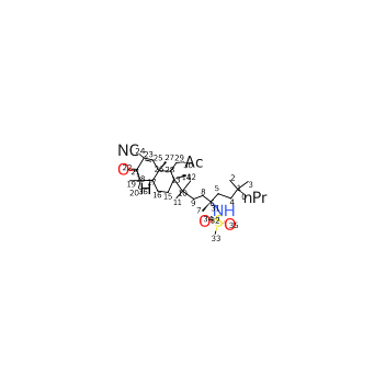 CCCC(C)(C)CC[C@@](C)(CCC(C)(C)[C@]1(C)CC[C@H]2C(C)(C)C(=O)C(C#N)=C[C@]2(C)C1CC(C)=O)NS(C)(=O)=O